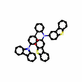 c1ccc(N(c2ccc3sc4ccccc4c3c2)c2ccc3sc4ccccc4c3c2)c(-c2ccc(-n3c4ccccc4c4ccccc43)cc2)c1